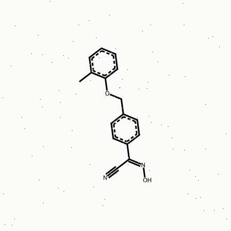 Cc1ccccc1OCc1ccc(C(C#N)=NO)cc1